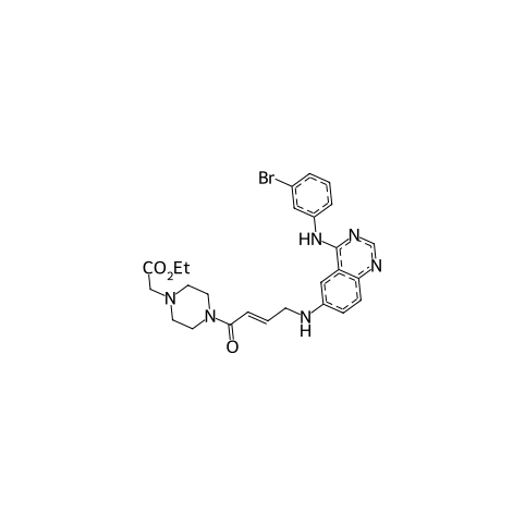 CCOC(=O)CN1CCN(C(=O)C=CCNc2ccc3ncnc(Nc4cccc(Br)c4)c3c2)CC1